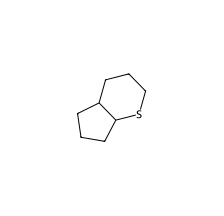 C1CSC2CCCC2C1